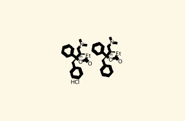 CCC(=O)O[C@](Cc1ccccc1)(c1ccccc1)[C@H](C)CN(C)C.CCC(=O)O[C@](Cc1ccccc1)(c1ccccc1)[C@H](C)CN(C)C.Cl